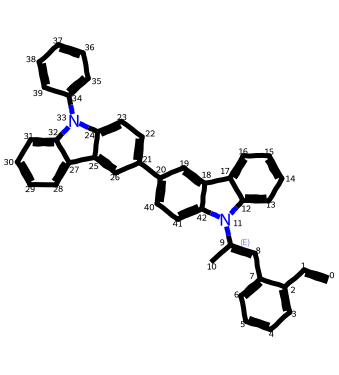 C=Cc1ccccc1/C=C(\C)n1c2ccccc2c2cc(-c3ccc4c(c3)c3ccccc3n4-c3ccccc3)ccc21